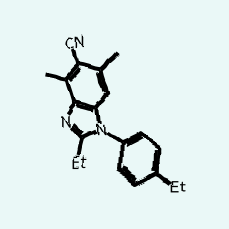 [CH2]Cc1ccc(-n2c(CC)nc3c(C)c(C#N)c(C)cc32)cc1